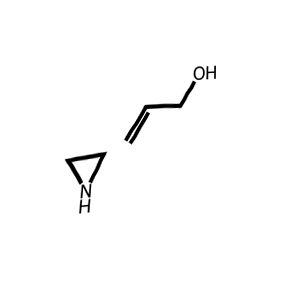 C1CN1.C=CCO